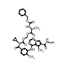 CCCNC(=O)c1cn2ncnc(Nc3cc(C(=O)N(C(=O)OCOC(=O)[C@H](C)NC(=O)OCc4ccccc4)C4CC4)ccc3C)c2c1C